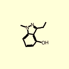 CCc1nn(C)c2cccc(O)c12